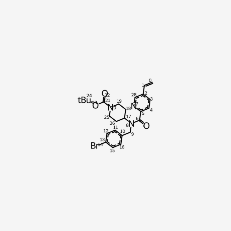 C=Cc1ccc(C(=O)N(Cc2ccc(Br)cc2)C2CCN(C(=O)OC(C)(C)C)CC2)nc1